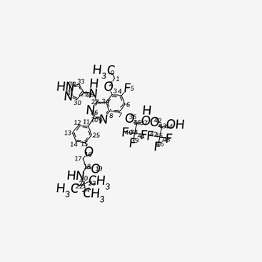 CCOc1c(F)ccc2nc(-c3cccc(OCC(=O)NC(C)(C)C)c3)nc(Nc3cn[nH]c3)c12.O=C(O)C(F)(F)F.O=C(O)C(F)(F)F